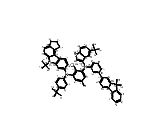 Cc1cc(N(c2ccc(C(C)(C)C)cc2)c2ccc3c4c5c(ccc4n(C(C)(C)C)c3c2)CCC5)c(Cl)c(N(c2cccc(-c3ccc4c(c3)C(C)(C)c3ccccc3-4)c2)c2csc3ccc(C(C)(C)C)cc23)c1